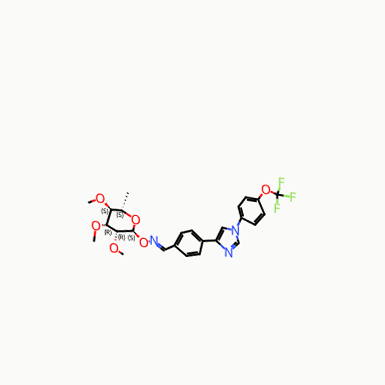 CO[C@@H]1[C@@H](OC)[C@H](C)O[C@@H](ON=Cc2ccc(-c3cn(-c4ccc(OC(F)(F)F)cc4)cn3)cc2)[C@@H]1OC